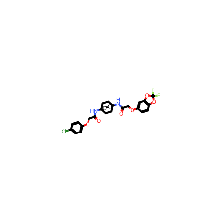 O=C(COc1ccc(Cl)cc1)NC12CCC(NC(=O)COc3ccc4c(c3)OC(F)(F)O4)(CC1)CC2